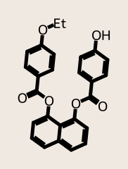 CCOc1ccc(C(=O)Oc2cccc3cccc(OC(=O)c4ccc(O)cc4)c23)cc1